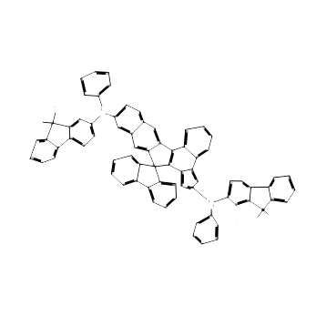 CC1(C)c2ccccc2-c2ccc(N(c3ccccc3)c3ccc4cc5c(cc4c3)C3(c4ccccc4-c4ccccc43)c3c-5c4ccccc4c4cc(N(c5ccccc5)c5ccc6c(c5)C(C)(C)c5ccccc5-6)ccc34)cc21